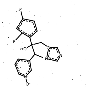 CC(c1ccc[n+]([O-])c1)C(O)(Cn1cncn1)c1ccc(F)cc1F